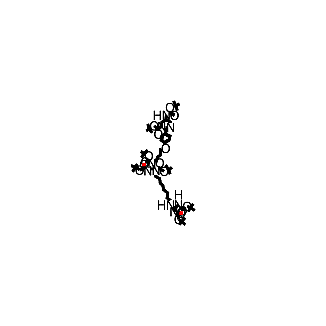 CC(C)(C)OC(=O)/N=C(/NCCCCCCCCN(C(=O)OC(C)(C)C)/C(=N/C(=O)OC(C)(C)C)N(CCCCOc1ccc(C2=NCC(NC(=O)OC(C)(C)C)CN2C(=O)OC(C)(C)C)cc1)C(=O)OC(C)(C)C)NC(=O)OC(C)(C)C